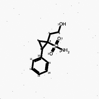 NS(=O)(=O)C1(CCO)CC1c1ccccc1